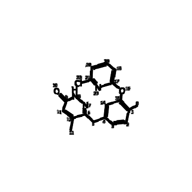 Cc1ccc(Cc2n[nH]c(=O)cc2C)cc1Oc1cccc(Cl)n1